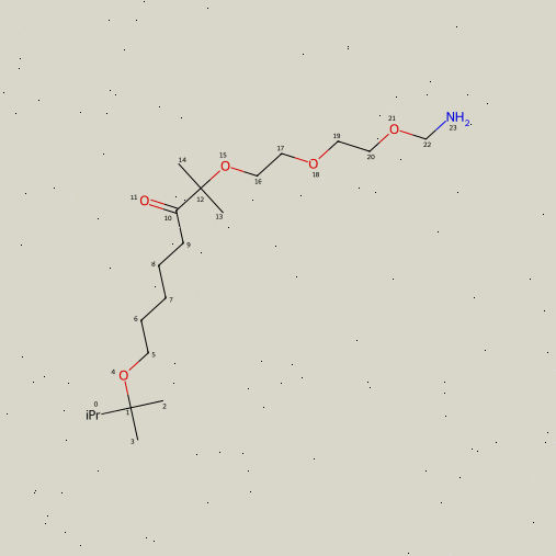 CC(C)C(C)(C)OCCCCCC(=O)C(C)(C)OCCOCCOCN